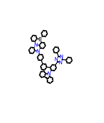 c1ccc(B2c3ccccc3N3c4ccccc4N(c4ccc(-c5cccc(-c6cc(-c7nc(-c8ccccc8)nc(-c8ccccc8)n7)ccc6-n6c7ccccc7c7ccccc76)c5)cc4)c4cccc2c43)cc1